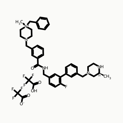 C[C@H]1CN(Cc2cccc(-c3cc(CNC(=O)c4cccc(CN5CC[N+](C)(Cc6ccccc6)CC5)c4)ccc3F)c2)CCN1.O=C(O)C(F)(F)F.O=C([O-])C(F)(F)F